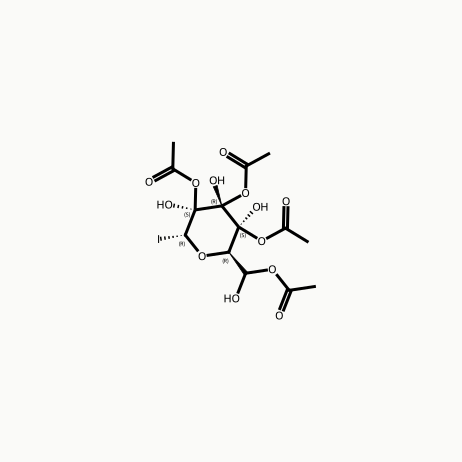 CC(=O)OC(O)[C@H]1O[C@H](I)[C@@](O)(OC(C)=O)[C@](O)(OC(C)=O)[C@@]1(O)OC(C)=O